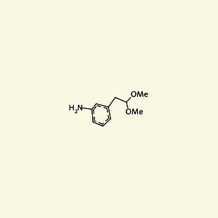 COC(Cc1cccc(N)c1)OC